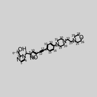 C[C@H](O)c1nccn1Cc1cc(C#Cc2ccc(N3CCN(CCN4CCOCC4)CC3)cc2)on1